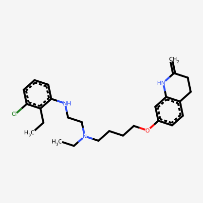 C=C1CCc2ccc(OCCCCN(CC)CCNc3cccc(Cl)c3CC)cc2N1